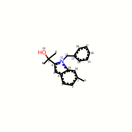 Cc1ccc2cc(C(C)(C)O)n(Cc3ccccc3)c2c1